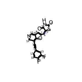 O=C1NC(=O)/C(=C\c2cc3cncc(C#Cc4ccc(F)c(F)c4)c3o2)S1